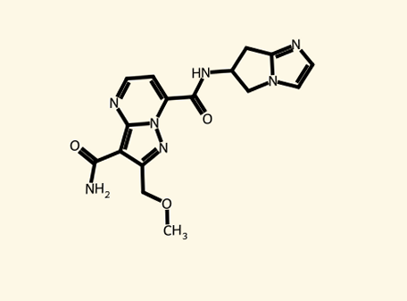 COCc1nn2c(C(=O)NC3Cc4nccn4C3)ccnc2c1C(N)=O